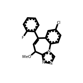 COC1C=C(c2ccccc2F)c2cc(Cl)ccc2-n2cnnc21